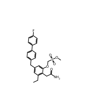 CCc1cc(Cc2ccc(-c3ccc(F)cc3)cc2)cc(OCS(=O)(=O)OC)c1CC(N)=O